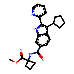 COC(=O)C1(NC(=O)c2ccc3c(C4CCCC4)c(-c4ccccn4)[nH]c3c2)CCC1